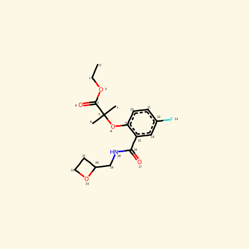 CCOC(=O)C(C)(C)Oc1ccc(F)cc1C(=O)NCC1CCO1